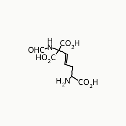 NC(CC=CC(NC=O)(C(=O)O)C(=O)O)C(=O)O